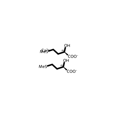 CSCC[C@@H](O)C(=O)[O-].CSCC[C@@H](O)C(=O)[O-].[Ca+2]